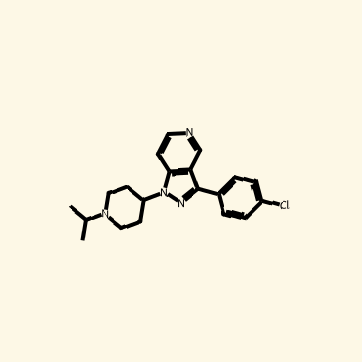 CC(C)N1CCC(n2nc(-c3ccc(Cl)cc3)c3cnccc32)CC1